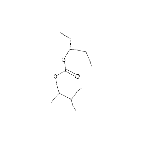 CCC(CC)OC(=O)OC(C)C(C)C